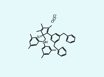 CC1=C(C)[C]([Ti+3])(C[SiH](c2cc(C)cc(C)c2)c2cc(C)cc(C)c2)C(c2cc(Cc3ccccc3)cc(Cc3ccccc3)c2)=C1C.[Cl-].[Cl-].[Cl-]